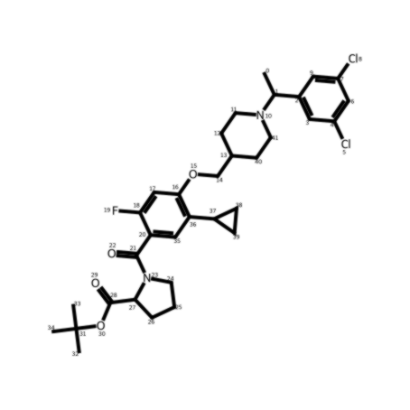 CC(c1cc(Cl)cc(Cl)c1)N1CCC(COc2cc(F)c(C(=O)N3CCCC3C(=O)OC(C)(C)C)cc2C2CC2)CC1